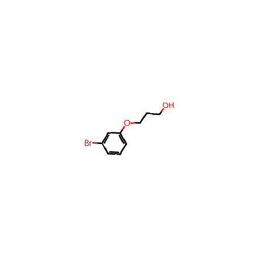 OCCCOc1cccc(Br)c1